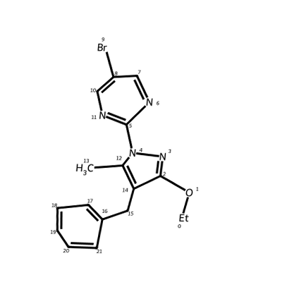 CCOc1nn(-c2ncc(Br)cn2)c(C)c1Cc1ccccc1